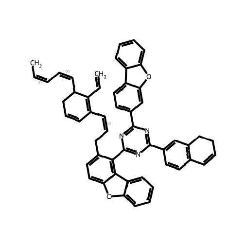 C=CC1=C(/C=C\Cc2ccc3oc4ccccc4c3c2-c2nc(-c3ccc4c(c3)CCC=C4)nc(-c3ccc4c(c3)oc3ccccc34)n2)C=CCC1/C=C\C=C/C